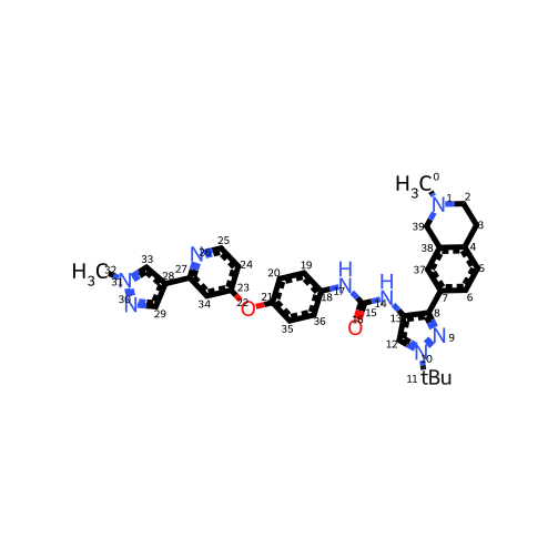 CN1CCc2ccc(-c3nn(C(C)(C)C)cc3NC(=O)Nc3ccc(Oc4ccnc(-c5cnn(C)c5)c4)cc3)cc2C1